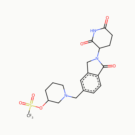 O=C1CCC(N2Cc3cc(CN4CCCC(OS(=O)(=O)C(F)(F)F)C4)ccc3C2=O)C(=O)N1